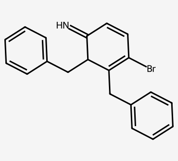 N=C1C=CC(Br)=C(Cc2ccccc2)C1Cc1ccccc1